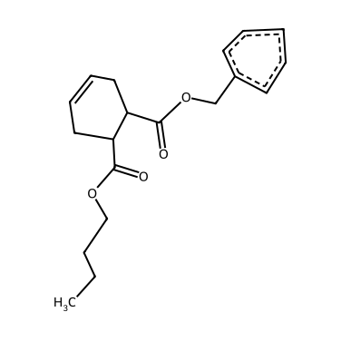 CCCCOC(=O)C1CC=CCC1C(=O)OCc1ccccc1